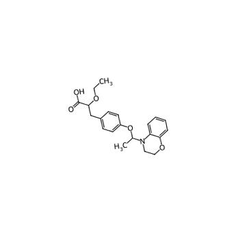 CCOC(Cc1ccc(OC(C)N2CCOc3ccccc32)cc1)C(=O)O